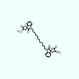 C=C1CC2(OC1=O)C(=O)N(CCCCCCCCCCCCN1C(=O)C3(CC(=C)C(=O)O3)c3ccccc31)c1ccccc12